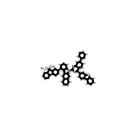 CC1(C)c2ccccc2-c2ccc(-c3cccc4c3c3cc5ccccc5cc3n4-c3nc(-c4ccc5c(c4)oc4ccccc45)c4ccc(-c5ccccc5)cc4n3)cc21